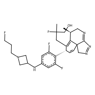 C[C@H]1CN=C2N=NCC23C=C[C@H](c2c(F)cc(NC4CN(CCCF)C4)cc2F)C(CC(C)(F)CO)=C13